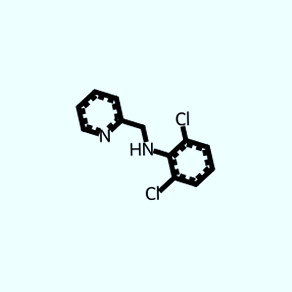 Clc1cccc(Cl)c1NCc1ccccn1